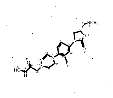 CC(=O)NC[C@H]1CN(c2ccc(N3C=NN(CC(=O)NO)CC3)c(F)c2)C(=O)O1